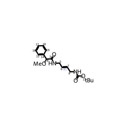 CO[C@H](C(=O)NC/C=C/CNC(=O)OC(C)(C)C)c1ccccc1